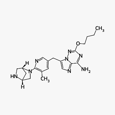 CCCCOc1nc(N)c2ncc(Cc3cnc(N4C[C@H]5C[C@@H]4CN5)c(C)c3)n2n1